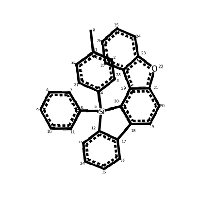 Cc1ccc([Si]2(c3ccccc3)c3ccccc3-c3ccc4oc5ccccc5c4c32)cc1